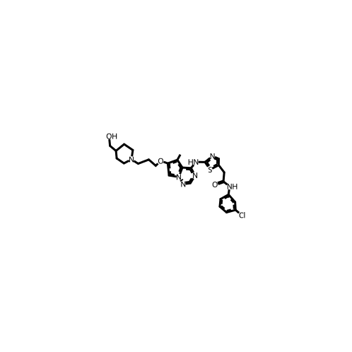 Cc1c(OCCCN2CCC(CO)CC2)cn2ncnc(Nc3ncc(CC(=O)Nc4cccc(Cl)c4)s3)c12